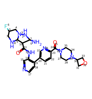 NC1NN2CC(F)CNC2C1C(=O)Nc1cnccc1-c1ccc(C(=O)N2CCN(C3COC3)CC2)nc1